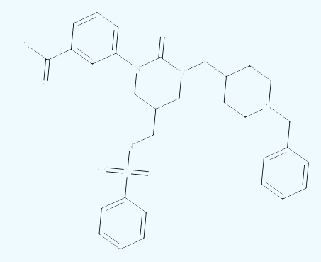 N=C(N)c1cccc(N2CC(CNS(=O)(=O)c3ccccc3)CN(CC3CCN(Cc4ccccc4)CC3)C2=O)c1